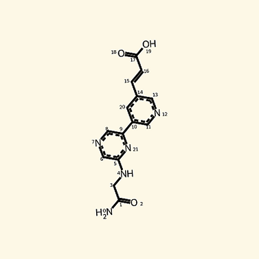 NC(=O)CNc1cncc(-c2cncc(/C=C/C(=O)O)c2)n1